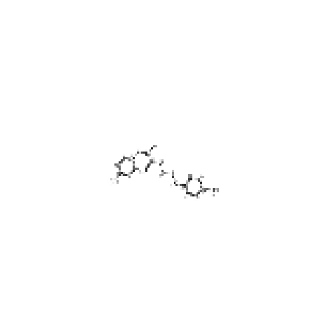 CN(Cc1ccc(Cl)cc1)C(=O)CCCSc1ccc(O)cc1